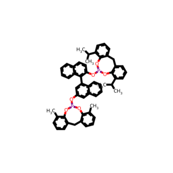 Cc1cccc2c1OP(Oc1cc(-c3c(OP4Oc5c(cccc5C(C)C)Cc5cccc(C(C)C)c5O4)ccc4ccccc34)c3ccccc3c1)Oc1c(C)cccc1C2